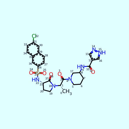 C[C@@H](C(=O)N1CCCC(NC(=O)c2cn[nH]c2)C1)N1CC[C@H](NS(=O)(=O)c2ccc3cc(Cl)ccc3c2)C1=O